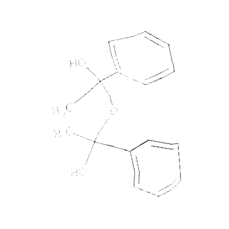 CC(O)(OC(C)(O)c1ccccc1)c1ccccc1